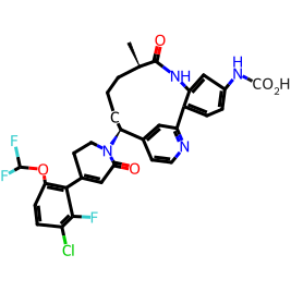 C[C@@H]1CCC[C@H](N2CCC(c3c(OC(F)F)ccc(Cl)c3F)=CC2=O)c2ccnc(c2)-c2ccc(NC(=O)O)cc2NC1=O